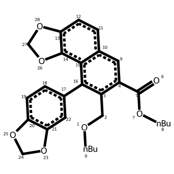 CCCCOCc1c(C(=O)OCCCC)cc2ccc3c(c2c1-c1ccc2c(c1)OCO2)OCO3